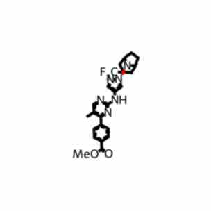 COC(=O)c1ccc(-c2nc(Nc3cnn(C4CC5CCC(C4)N5CC(F)(F)F)c3)ncc2C)cc1